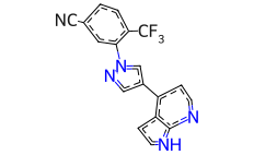 N#Cc1ccc(C(F)(F)F)c(-n2cc(-c3ccnc4[nH]ccc34)cn2)c1